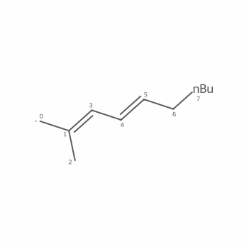 [CH2]C(C)=CC=CCCCCC